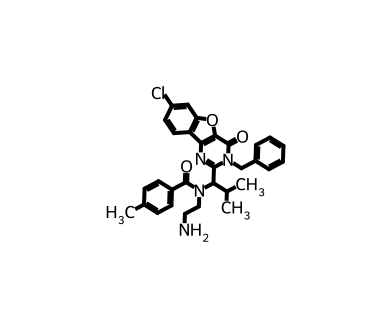 Cc1ccc(C(=O)N(CCN)C(c2nc3c(oc4cc(Cl)ccc43)c(=O)n2Cc2ccccc2)C(C)C)cc1